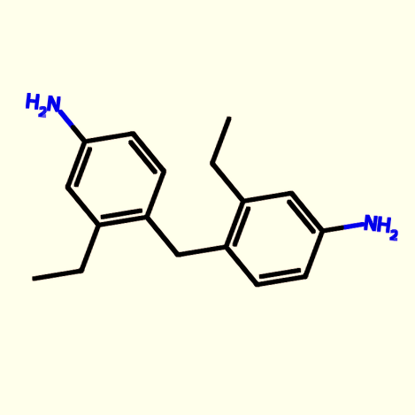 CCc1cc(N)ccc1Cc1ccc(N)cc1CC